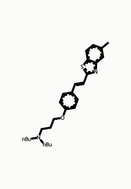 CCCCN(CCCC)CCCOc1ccc(C=Cc2nc3cc(C)ccc3s2)cc1